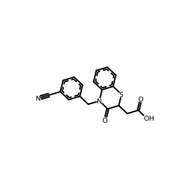 N#Cc1cccc(CN2C(=O)C(CC(=O)O)Sc3ccccc32)c1